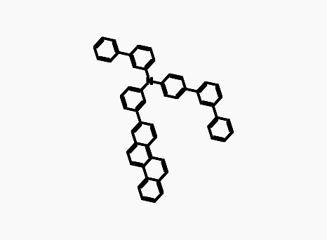 c1ccc(-c2cccc(-c3ccc(N(c4cccc(-c5ccccc5)c4)c4cccc(-c5ccc6c(ccc7c8ccccc8ccc67)c5)c4)cc3)c2)cc1